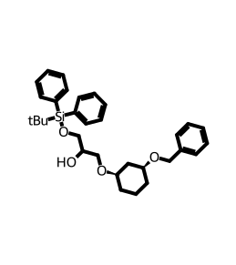 CC(C)(C)[Si](OCC(O)CO[C@@H]1CCC[C@H](OCc2ccccc2)C1)(c1ccccc1)c1ccccc1